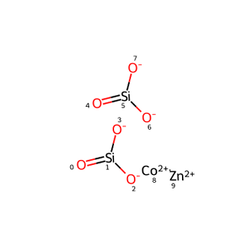 O=[Si]([O-])[O-].O=[Si]([O-])[O-].[Co+2].[Zn+2]